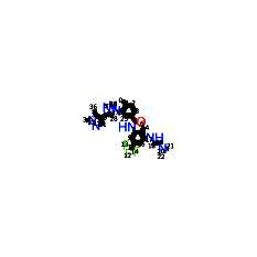 Cc1ccc(C(=O)Nc2cc(C(F)(F)F)cc(NCCN(C)C)c2C)cc1-n1cc(-c2cnn(C)c2C)nn1